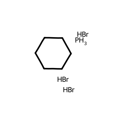 Br.Br.Br.C1CCCCC1.P